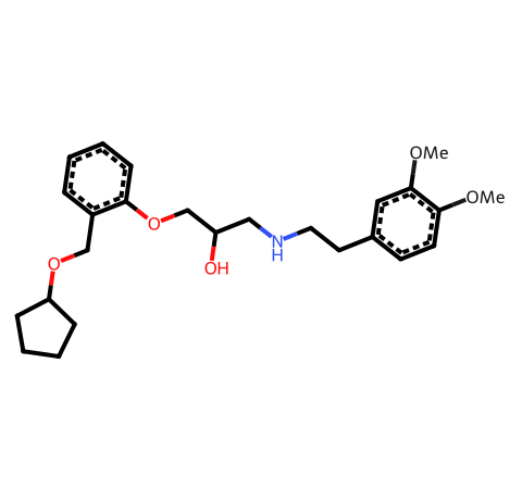 COc1ccc(CCNCC(O)COc2ccccc2COC2CCCC2)cc1OC